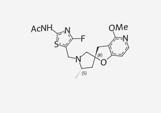 COc1nccc2c1C[C@]1(C[C@H](C)N(Cc3sc(NC(C)=O)nc3F)C1)O2